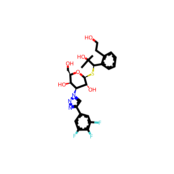 CC(C)(O)[C@H](S[C@@H]1O[C@H](CO)[C@H](O)[C@H](n2cc(-c3cc(F)c(F)c(F)c3)nn2)[C@H]1O)c1ccccc1CCO